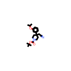 CC(C)Oc1cccc(C2(CC#N)CCN(C(=O)OC(C)(C)C)CC2)c1